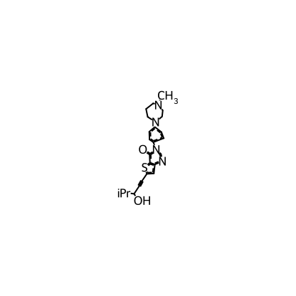 CC(C)C(O)C#Cc1cc2ncn(-c3ccc(N4CCCN(C)CC4)cc3)c(=O)c2s1